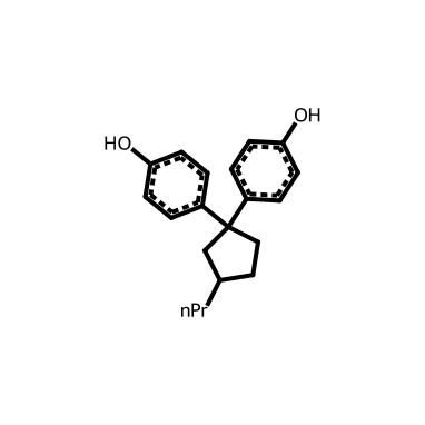 CCCC1CCC(c2ccc(O)cc2)(c2ccc(O)cc2)C1